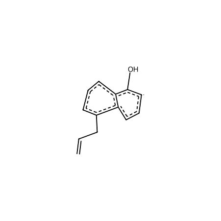 C=CCc1cccc2c(O)[c]ccc12